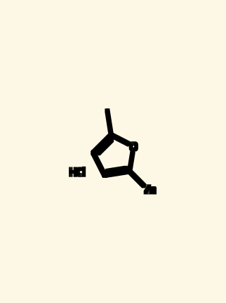 Cc1cc[c]([Zn])o1.Cl